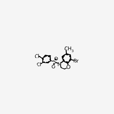 Cc1cc(Br)c2c(c1)N(S(=O)(=O)c1ccc(Cl)c(Cl)c1)CCO2